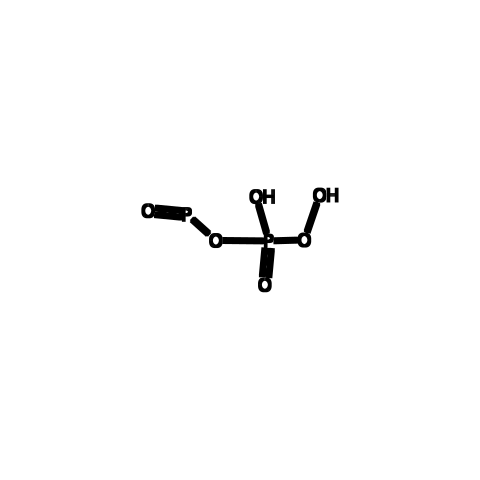 O=POP(=O)(O)OO